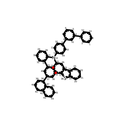 c1ccc(-c2cccc(-c3ccc(N(c4ccc5sc6ccccc6c5c4)c4ccccc4-c4cccc(-c5cccc6ccccc56)c4)cc3)c2)cc1